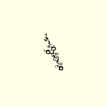 CC1(CNC(=O)c2ccccc2)COC(c2nc(-c3ccc(F)cc3)c(-c3ccnc(NCCCN4CCNC4)n3)[nH]2)OC1